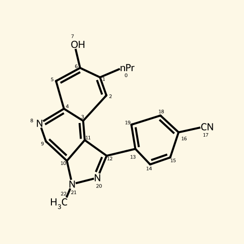 CCCc1cc2c(cc1O)ncc1c2c(-c2ccc(C#N)cc2)nn1C